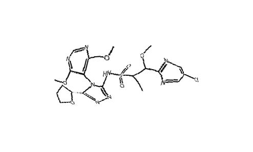 COc1ncnc(OC)c1-n1c(NS(=O)(=O)C(C)C(OC)c2ncc(Cl)cn2)nnc1[C@H]1CCCO1